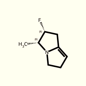 C[C@@H]1[C@H](F)CC2=CCCN21